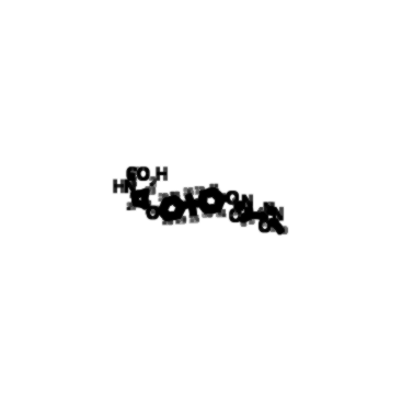 Cc1nnc(-c2coc(Oc3ccc(C(C)(C)c4ccc(OC5CC(NC(=O)O)C5)cc4)cc3)n2)o1